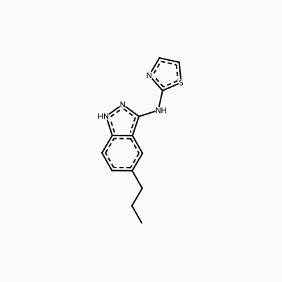 CCCc1ccc2[nH]nc(Nc3nccs3)c2c1